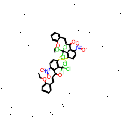 CCOc1ccccc1C=CC(=O)c1c([N+](=O)[O-])ccc(SSc2ccc([N+](=O)[O-])c(C(=O)C=Cc3ccccc3OCC)c2C(Cl)(Cl)Cl)c1C(Cl)(Cl)Cl